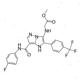 COC(=O)CNc1c(-c2ccc(C(F)(F)F)cc2)[nH]c2c(C(=O)Nc3ccc(F)cc3)cnn12